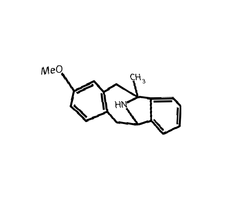 COc1ccc2c(c1)CC1(C)NC(C2)c2ccccc21